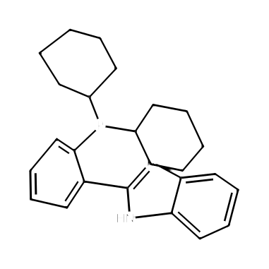 c1ccc(P(C2CCCCC2)C2CCCCC2)c(-c2nc3ccccc3[nH]2)c1